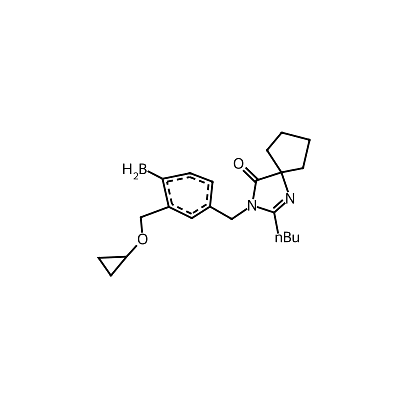 Bc1ccc(CN2C(=O)C3(CCCC3)N=C2CCCC)cc1COC1CC1